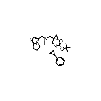 CC(C)(C)OC(=O)N(CC1(CNCc2cnc3n2CCC3)CC1)[C@H]1CC1c1ccccc1